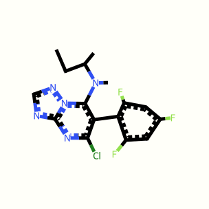 CCC(C)N(C)c1c(-c2c(F)cc(F)cc2F)c(Cl)nc2ncnn12